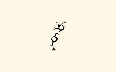 CCCOC(C)c1ccc(COc2cnn(C(C)(C)C)c(=O)c2Cl)cc1